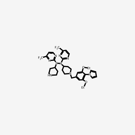 CCOc1cc(CN2CCC(N(c3nccc(C(F)(F)F)n3)N(c3nccc(C(F)(F)F)n3)C3CCNCC3)CC2)cc(OCC)c1-n1cccc1